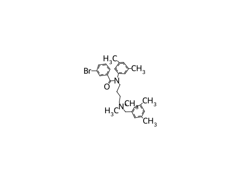 Cc1cc(C)cc(C[N+](C)(C)CCCCN(C(=O)c2cccc(Br)c2)c2cc(C)cc(C)c2)c1